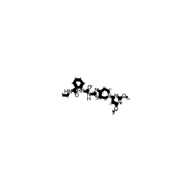 CCNC(=O)c1ccccc1NC(=O)Nc1nc2c(s1)CN(c1cc(OC)nc(OC)n1)CC2